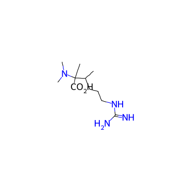 CC(CCCNC(=N)N)C(C)(C(=O)O)N(C)C